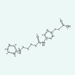 O=C(O)CCc1ccc(NC(=O)CCCCNc2ccccn2)cc1